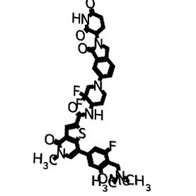 COc1cc(-c2cn(C)c(=O)c3cc(C(=O)NC4CCN(c5ccc6c(c5)C(=O)N(C5CCC(=O)NC5=O)C6)CC4(F)F)sc23)cc(F)c1CN(C)C